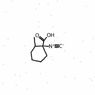 [C-]#[N+]C1(C(=O)O)CCCCC1C